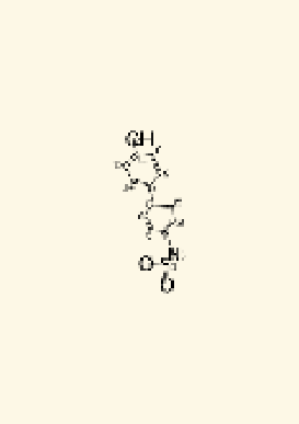 O=S(=O)=Nc1ccc(-c2ccc(O)cc2)cc1